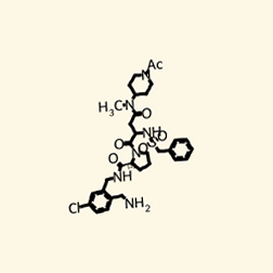 CC(=O)N1CCC(N(C)C(=O)CC(NS(=O)(=O)Cc2ccccc2)C(=O)N2CCC[C@H]2C(=O)NCc2cc(Cl)ccc2CN)CC1